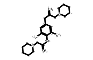 C=C(Cc1cc(C)c(NC(=C)CN2CCCCC2)c(C)c1)CN1CCCCC1